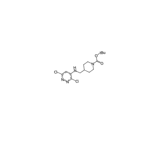 CC(C)(C)OC(=O)N1CCC(CNc2cc(Cl)nnc2Cl)CC1